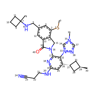 CSc1cc(CNC2(C)CCC2)cc2c1CN(c1nc(NCCC#N)cc([C@H]3C[C@H](C)C3)c1-[n+]1cn(C)cn1)C2=O